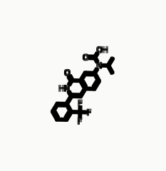 CC(C)N(C(=O)O)c1ccc2cc(-c3ccccc3C(F)(F)F)[nH]c(=O)c2c1